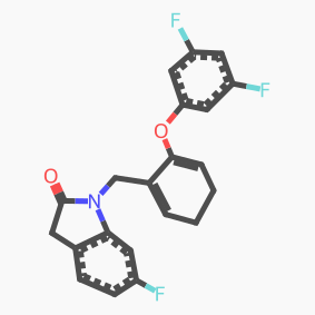 O=C1Cc2ccc(F)cc2N1CC1=CCCC=C1Oc1cc(F)cc(F)c1